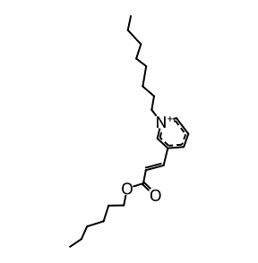 CCCCCCCC[n+]1cccc(/C=C/C(=O)OCCCCCC)c1